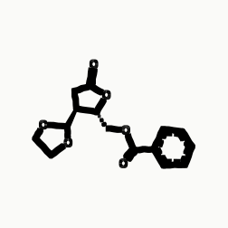 O=C1C[C@H](C2OCCO2)[C@@H](COC(=O)c2ccccc2)O1